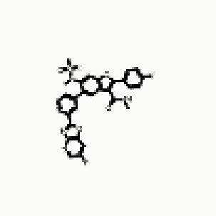 CNC(=O)c1c(-c2ccc(F)cc2)oc2cc(N(C)S(C)(=O)=O)c(-c3cccc(-c4nc5ncc(F)cc5o4)c3)cc12